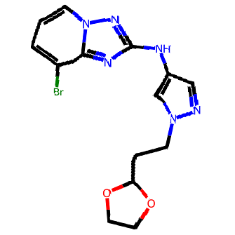 Brc1cccn2nc(Nc3cnn(CCC4OCCO4)c3)nc12